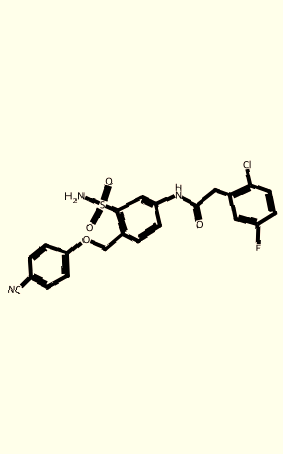 N#Cc1ccc(OCc2ccc(NC(=O)Cc3cc(F)ccc3Cl)cc2S(N)(=O)=O)cc1